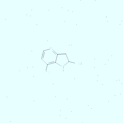 Cc1ccnc2c1NC(O)C2